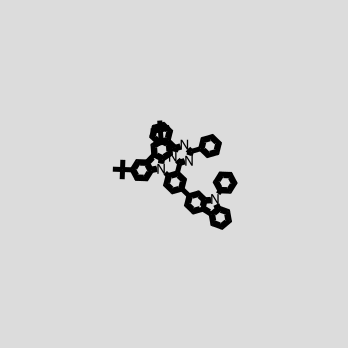 CC(C)(C)c1ccc2c(c1)c1cc(C(C)(C)C)ccc1n2-c1ccc(-c2ccc3c4ccccc4n(-c4ccccc4)c3c2)cc1-c1nc(-c2ccccc2)nc(-c2ccccc2)n1